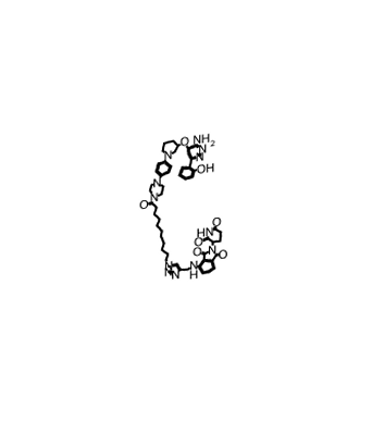 Nc1nnc(-c2ccccc2O)cc1OC1CCCN(c2ccc(N3CCN(C(=O)CCCCCCCCCCn4cc(CNc5cccc6c5C(=O)N(C5CCC(=O)NC5=O)C6=O)nn4)CC3)cc2)C1